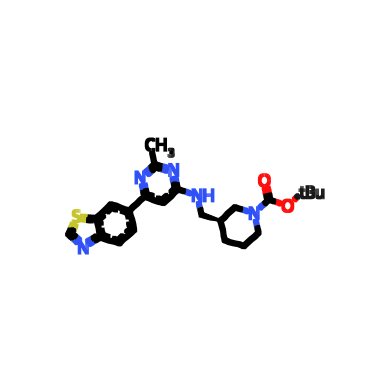 Cc1nc(NC[C@@H]2CCCN(C(=O)OC(C)(C)C)C2)cc(-c2ccc3ncsc3c2)n1